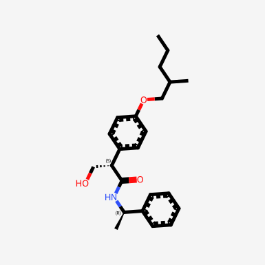 CCCC(C)COc1ccc([C@@H](CO)C(=O)N[C@H](C)c2ccccc2)cc1